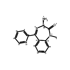 CN1C(=O)[C@H](N)N=C(c2ccccn2)c2ccccc21